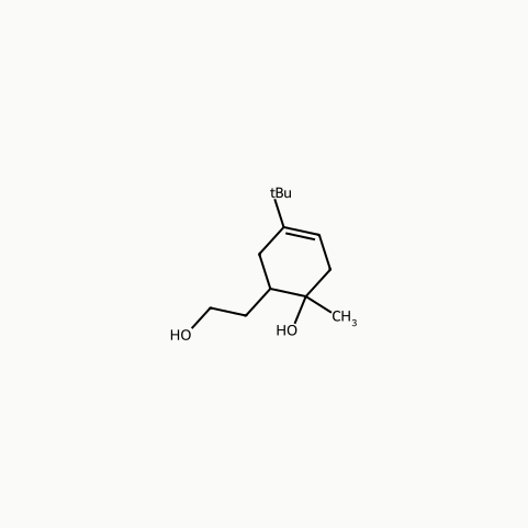 CC(C)(C)C1=CCC(C)(O)C(CCO)C1